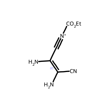 CCOC(=O)[N+]#C/C(N)=C(/N)C#N